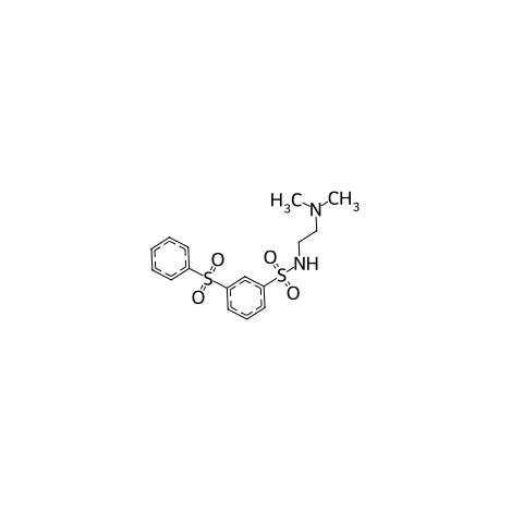 CN(C)CCNS(=O)(=O)c1cccc(S(=O)(=O)c2ccccc2)c1